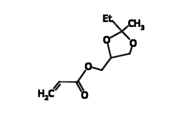 C=CC(=O)OCC1COC(C)(CC)O1